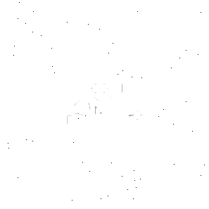 Cc1c(C(=O)O)c2ccc(F)cc2n1C(C)C1CCC(=O)CC1